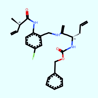 C=CC[C@H](NC(=O)OCc1ccccc1)C(=C)NCc1cc(F)ccc1NC(=O)[C@H](C)C=C